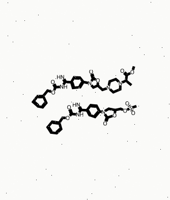 COC(=O)C(C)N1CCN(CC2CN(c3ccc(C(=N)NC(=O)OCc4ccccc4)cc3)C(=O)O2)CC1.CS(=O)(=O)OCC1CN(c2ccc(C(=N)NC(=O)OCc3ccccc3)cc2)C(=O)O1